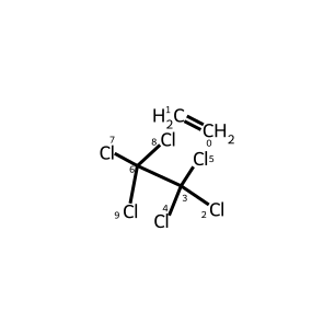 C=C.ClC(Cl)(Cl)C(Cl)(Cl)Cl